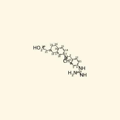 CN(Cc1ccc(NC(=N)N)cc1)c1ccc2c(c1)CC(CC(=O)O)CC2